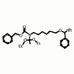 CCCC(OCCCCCCN(C(=O)OCc1ccccc1)C(C)(OCC)OCC)c1ccccc1